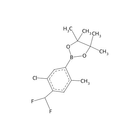 Cc1cc(C(F)F)c(Cl)cc1B1OC(C)(C)C(C)(C)O1